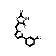 CCc1cccc(-c2ccc(C=C3SC(=O)NC3=O)o2)c1